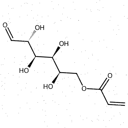 C=CC(=O)OC[C@@H](O)[C@H](O)[C@@H](O)[C@@H](O)C=O